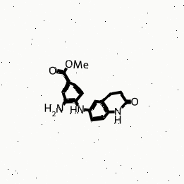 COC(=O)c1ccc(Nc2ccc3c(c2)CCC(=O)N3)c(N)c1